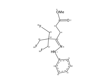 COC(=O)CCC(=NNc1ccccc1)C(CF)(CF)CF